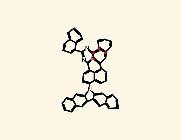 c1ccc(-c2nc(-c3cccc4ccccc34)nc(-c3ccc(-n4c5cc6ccccc6cc5c5cc6ccccc6cc54)c4cccc(-c5ccccc5)c34)n2)cc1